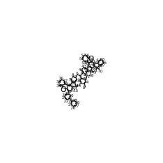 Cc1ccc(C(Cc2ccc3c(c2)C(C)(C)c2cc(-c4cccc(-c5ccccc5)c4)c4oc5ccccc5c4c2-3)c2ccc3c(c2)C(C)(C)c2c4c(c5oc6ccccc6c5c2-3)-c2ccccc2C4(C)C)c(C)c1